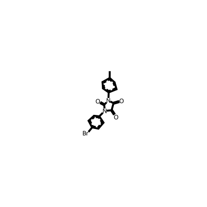 Cc1ccc(N2C(=O)C(=O)N(c3ccc(Br)cc3)C2=O)cc1